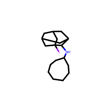 IC12CC3CC(CC(C3)C1NC1CCCCCCC1)C2